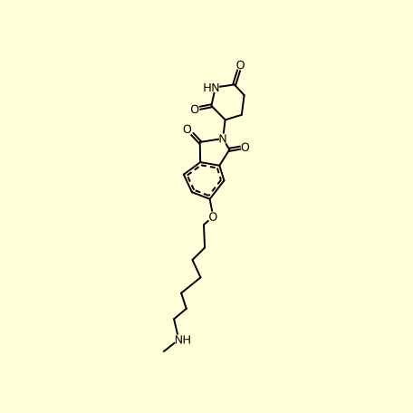 CNCCCCCCCOc1ccc2c(c1)C(=O)N(C1CCC(=O)NC1=O)C2=O